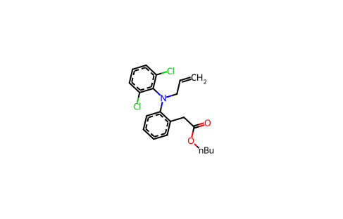 C=CCN(c1ccccc1CC(=O)OCCCC)c1c(Cl)cccc1Cl